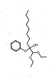 CCCCCCCCC(O)(Oc1ccccc1)C(OCC)OCC